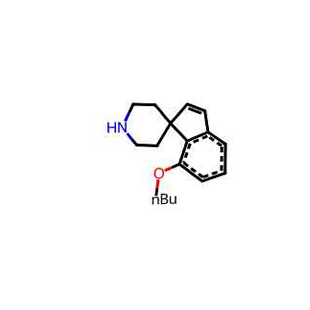 CCCCOc1cccc2c1C1(C=C2)CCNCC1